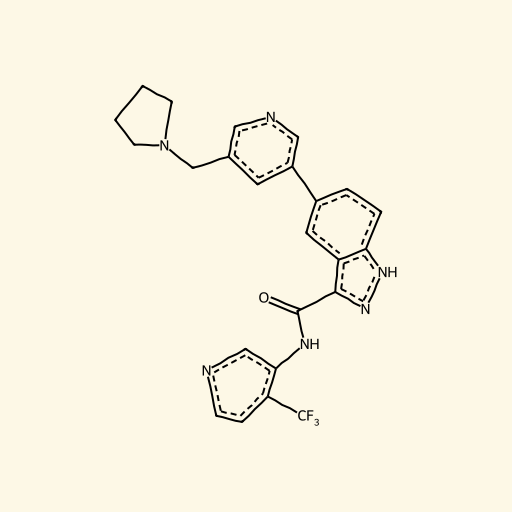 O=C(Nc1cnccc1C(F)(F)F)c1n[nH]c2ccc(-c3cncc(CN4CCCC4)c3)cc12